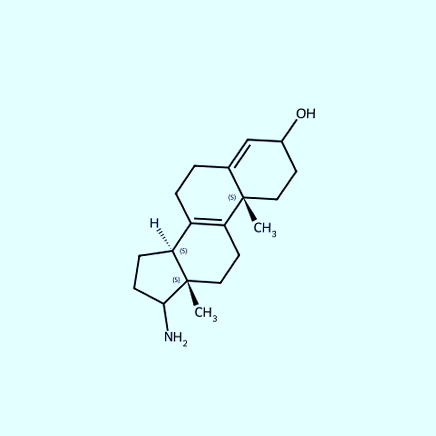 C[C@]12CCC(O)C=C1CCC1=C2CC[C@]2(C)C(N)CC[C@@H]12